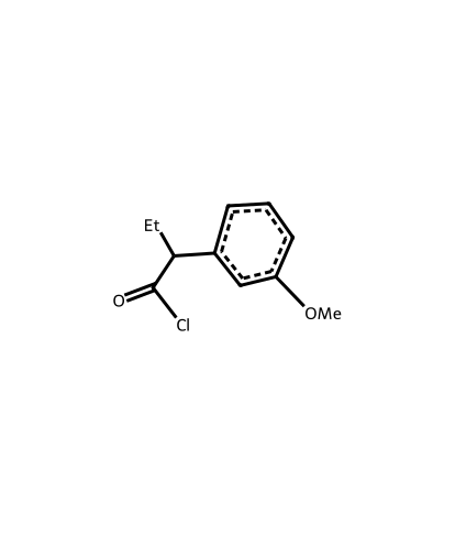 CCC(C(=O)Cl)c1cccc(OC)c1